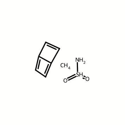 C.N[SH](=O)=O.c1cc2ccc1-2